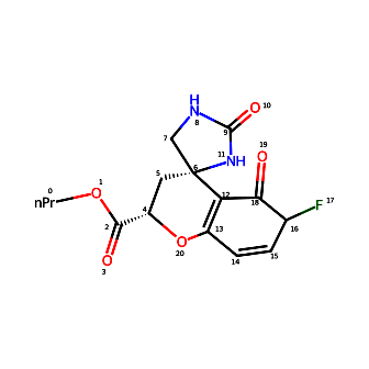 CCCOC(=O)[C@@H]1C[C@@]2(CNC(=O)N2)C2=C(C=CC(F)C2=O)O1